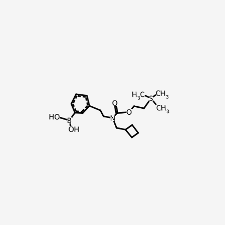 CS(C)(C)CCOC(=O)N(CCc1cccc(B(O)O)c1)CC1CCC1